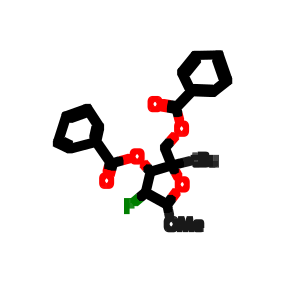 COC1OC(COC(=O)c2ccccc2)(C(C)(C)C)C(OC(=O)c2ccccc2)C1F